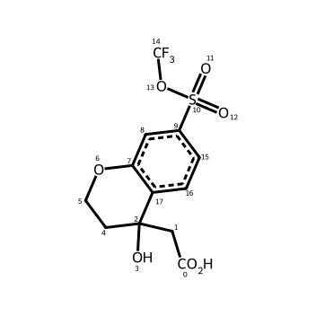 O=C(O)CC1(O)CCOc2cc(S(=O)(=O)OC(F)(F)F)ccc21